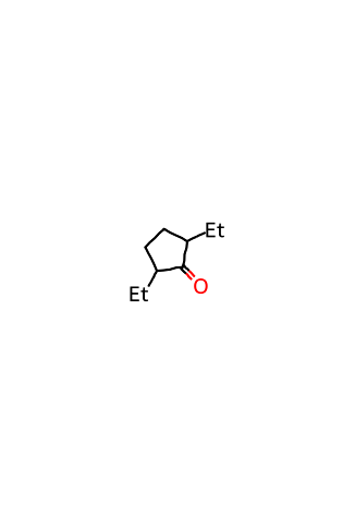 CCC1CCC(CC)C1=O